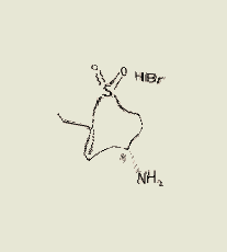 Br.CC1=C[C@@H](N)CS1(=O)=O